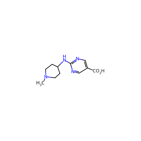 CN1CCC(Nc2ncc(C(=O)O)cn2)CC1